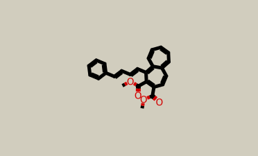 COC(=O)C1=C(C(=O)OC)C(C=CC=Cc2ccccc2)=C2C=CC=CC=C2C=C1